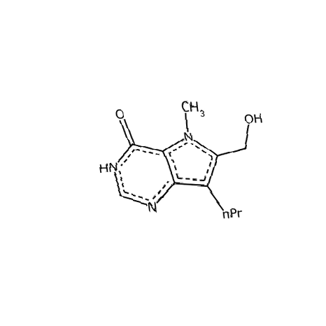 CCCc1c(CO)n(C)c2c(=O)[nH]cnc12